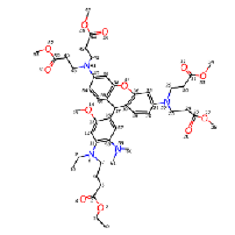 CCOC(=O)CCCN(CC)c1cc(OC)c(C2c3ccc(N(CCC(=O)OC)CCC(=O)OC)cc3Oc3cc(N(CCC(=O)OC)CCC(=O)OC)ccc32)cc1N(C)C